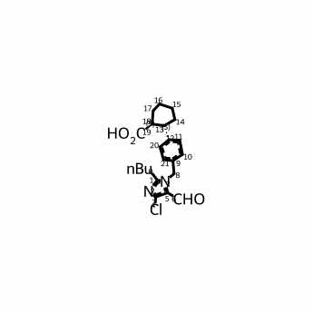 CCCCc1nc(Cl)c(C=O)n1Cc1ccc([C@H]2CCCC[C@@H]2C(=O)O)cc1